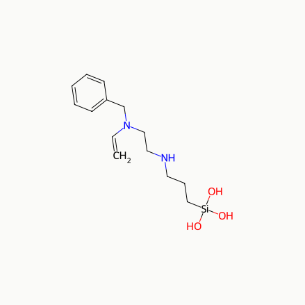 C=CN(CCNCCC[Si](O)(O)O)Cc1ccccc1